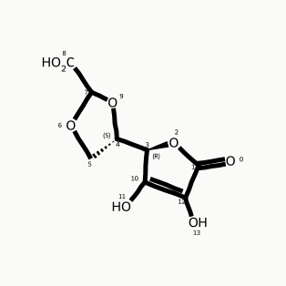 O=C1O[C@H]([C@@H]2COC(C(=O)O)O2)C(O)=C1O